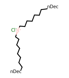 CCCCCCCCCCCCCCCCCC[B+]CCCCCCCCCCCCCCCCCC.[Cl-]